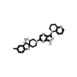 Cc1ccc2c(c1)[C@@H](N)C1(CCN(c3cnc4c(N5CCCc6ncccc65)n[nH]c4n3)CC1)O2